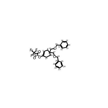 O=S(=O)(OC1=CCC(COCc2ccccc2)(COCc2ccccc2)CC1)C(F)(F)F